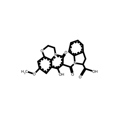 COc1cc2c3c(c1)c(O)c(C(=O)N1c4ccccc4CC1C(=O)O)c(=O)n3CCO2